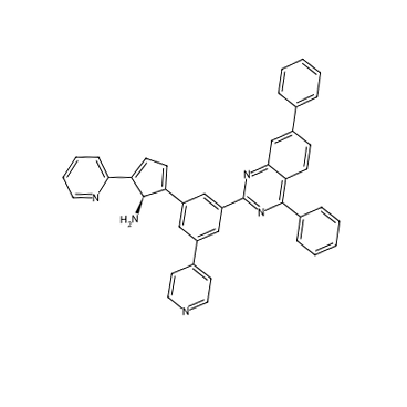 N[C@@H]1C(c2cc(-c3ccncc3)cc(-c3nc(-c4ccccc4)c4ccc(-c5ccccc5)cc4n3)c2)=CC=C1c1ccccn1